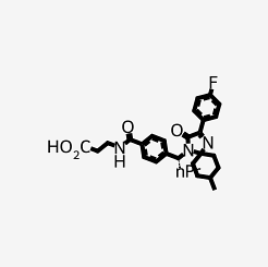 CCC[C@H](c1ccc(C(=O)NCCC(=O)O)cc1)N1C(=O)C(c2ccc(F)cc2)=NC12CCC(C)CC2